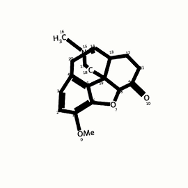 COc1ccc2c3c1OC1C(=O)CCC4C(=[N+](C)CCC341)C2